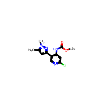 Cc1cc(-c2cnc(Cl)cc2NC(=O)OC(C)(C)C)nn1C